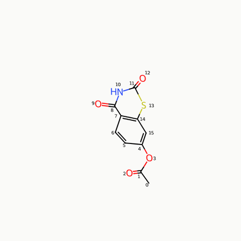 CC(=O)Oc1ccc2c(=O)[nH]c(=O)sc2c1